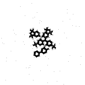 Cc1ccc(-c2ccccc2)cc1N1c2cc(C(C)(C)C)ccc2C2c3cc4c(cc3N(c3ccc5c(c3)C(C)(C)CC5(C)C)c3cc(C(C)(C)C)cc1c32)C(C)(C)CC4(C)C